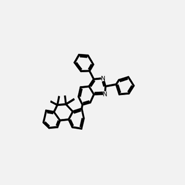 CC1(C)c2ccccc2-c2cccc(-c3ccc4c(-c5ccccc5)nc(-c5ccccc5)nc4c3)c2C1(C)C